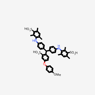 COc1ccc(Oc2ccc(C(c3ccc(Nc4c(C)cc(C)c(S(=O)(=O)O)c4C)cc3)c3ccc(Nc4c(C)cc(C)c(S(=O)(=O)O)c4C)cc3)c(S(=O)(=O)O)c2)cc1